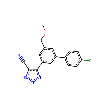 COCc1cc(-c2ccc(F)cc2)cc(-c2nn[nH]c2C#N)c1